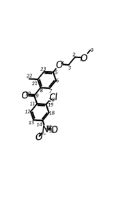 COCCOc1ccc(C(=O)c2ccc([N+](=O)[O-])cc2Cl)c(C)c1